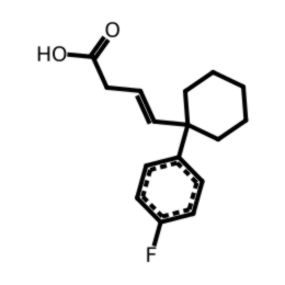 O=C(O)CC=CC1(c2ccc(F)cc2)CCCCC1